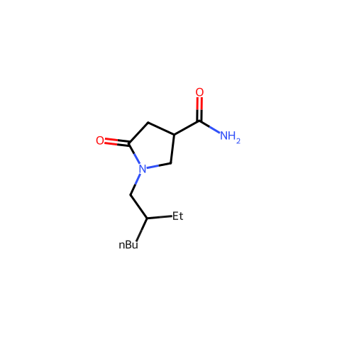 CCCCC(CC)CN1CC(C(N)=O)CC1=O